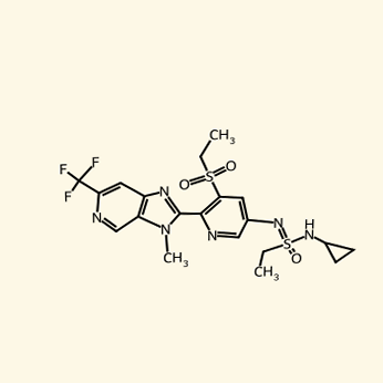 CCS(=O)(=O)c1cc(N=S(=O)(CC)NC2CC2)cnc1-c1nc2cc(C(F)(F)F)ncc2n1C